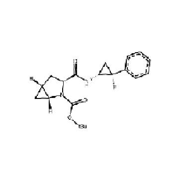 CC(C)(C)OC(=O)N1[C@@H]2C[C@@H]2C[C@H]1C(=O)N[C@@H]1C[C@@]1(F)c1ccccc1